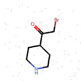 O=C(CBr)C1CCNCC1